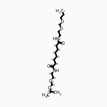 CCCOCOCCNC(=O)CCCCCCC(=O)NCCOCOC(C)C